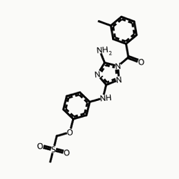 Cc1cccc(C(=O)n2nc(Nc3cccc(OCS(C)(=O)=O)c3)nc2N)c1